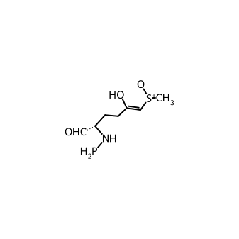 C[S+]([O-])/C=C(\O)CC[C@@H](C=O)NP